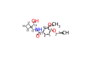 C#CCOc1ccc(C(=O)NCC2(CO)CCC2)cc1OC